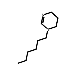 CCCCCCN1C=NCCC1